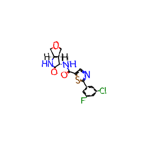 O=C(N[C@@H]1C(=O)N[C@H]2COC[C@H]21)c1cnc(-c2cc(F)cc(Cl)c2)s1